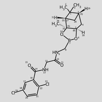 CC1(C)[C@@H]2C[C@H]3OB(CNC(=O)CNC(=O)c4cc(Cl)ccc4Cl)O[C@@]3(C)[C@H]1C2